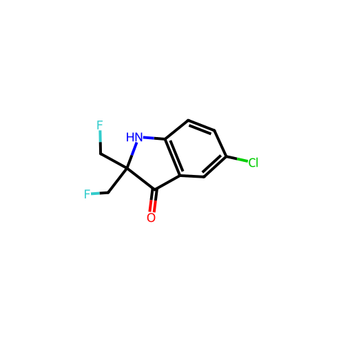 O=C1c2cc(Cl)ccc2NC1(CF)CF